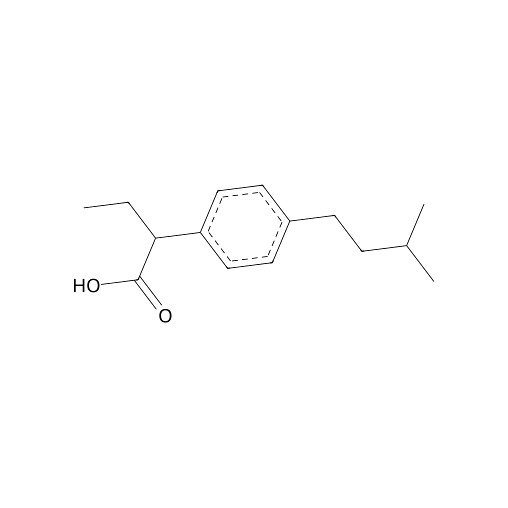 CCC(C(=O)O)c1ccc(CCC(C)C)cc1